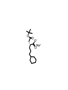 CC(C)(C)OC(=O)C[C@@H](CCCC1CCCCC1)C(=O)[O-].[Na+]